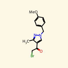 COc1ccc(Cn2cc(C(=O)CBr)c(C)n2)cc1